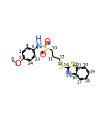 COc1ccc(NS(=O)(=O)CCCSc2nc3ccccc3s2)cc1